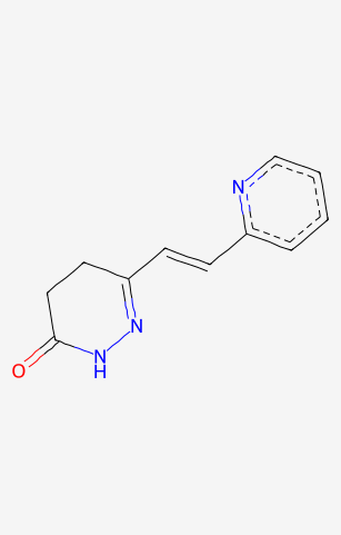 O=C1CCC(C=Cc2ccccn2)=NN1